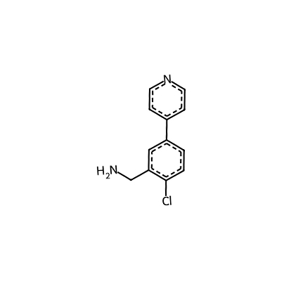 NCc1cc(-c2ccncc2)ccc1Cl